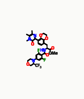 COC(=O)[C@H](Cc1ccc(-c2nc(C)c(C)n(C)c2=O)c2c1OCCO2)NC(=O)c1c(F)cc(N2CCOC[C@@H]2C(F)(F)F)cc1F